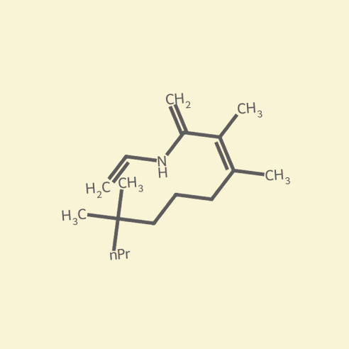 C=CNC(=C)/C(C)=C(/C)CCCC(C)(C)CCC